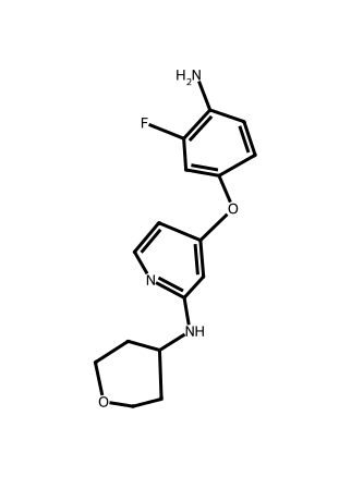 Nc1ccc(Oc2ccnc(NC3CCOCC3)c2)cc1F